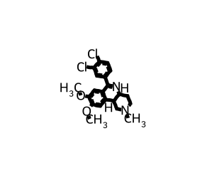 COc1cc2c(cc1OC)[C@H]1CN(C)CC[C@H]1N=C2c1ccc(Cl)c(Cl)c1